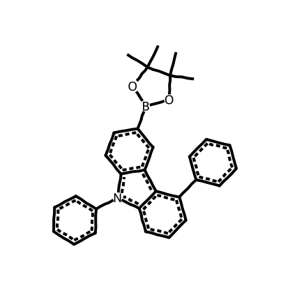 CC1(C)OB(c2ccc3c(c2)c2c(-c4ccccc4)cccc2n3-c2ccccc2)OC1(C)C